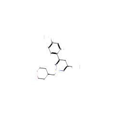 CC1=CN(CC2CCOCC2)C=C(c2ccc(C)cc2)C1